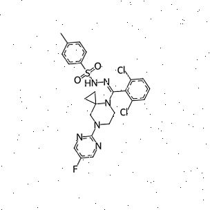 Cc1ccc(S(=O)(=O)N/N=C(/c2c(Cl)cccc2Cl)N2CCN(c3ncc(F)cn3)CC23CC3)cc1